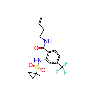 C=CCCNC(=O)c1ccc(C(F)(F)F)cc1NS(=O)(=O)C1(C)CC1